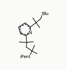 CCCC(C)C(C)(C)CC(C)(C)c1cccc(C(C)(C)CC(C)(C)C)n1